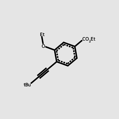 CCOC(=O)c1ccc(C#CC(C)(C)C)c(OCC)c1